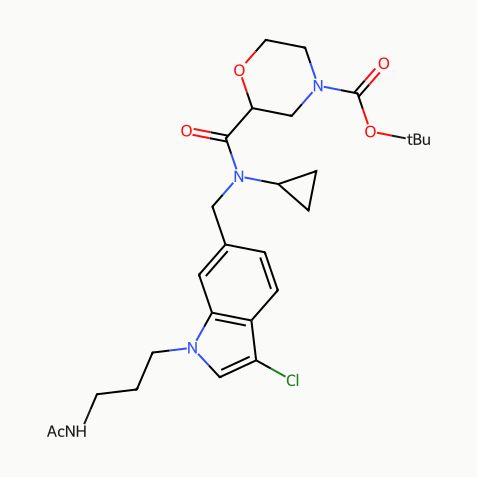 CC(=O)NCCCn1cc(Cl)c2ccc(CN(C(=O)C3CN(C(=O)OC(C)(C)C)CCO3)C3CC3)cc21